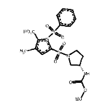 Cc1cc(S(=O)(=O)N2CC[C@H](NC(=O)OC(C)(C)C)C2)n(S(=O)(=O)c2ccccc2)c1C(=O)O